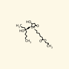 C=CCOC(=O)CCCCCC[C@H]1C(=O)CC(O)[C@@H]1C#CC(O)(CC=C)CCCCC